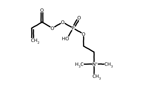 C=CC(=O)OOP(=O)(O)OCC[N+](C)(C)C